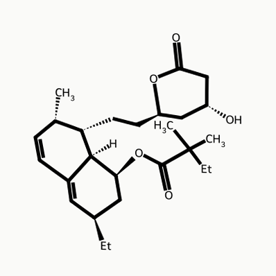 CC[C@H]1C=C2C=C[C@H](C)[C@H](CC[C@@H]3C[C@@H](O)CC(=O)O3)[C@H]2[C@@H](OC(=O)C(C)(C)CC)C1